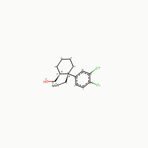 CNC[C@]1(c2ccc(Cl)c(Cl)c2)CCCC[C@@H]1CO